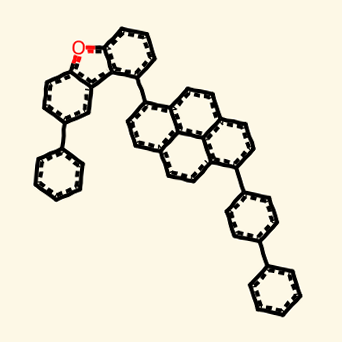 c1ccc(-c2ccc(-c3ccc4ccc5c(-c6cccc7oc8ccc(-c9ccccc9)cc8c67)ccc6ccc3c4c65)cc2)cc1